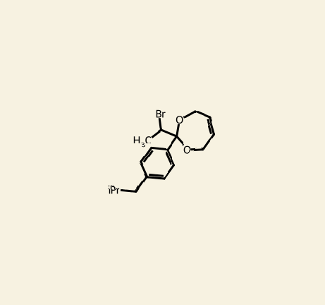 CC(C)Cc1ccc(C2(C(C)Br)OCC=CCO2)cc1